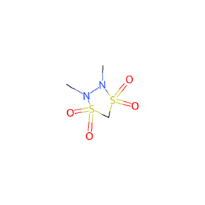 CN1N(C)S(=O)(=O)CS1(=O)=O